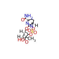 CC(OS(=O)(=O)ON1C(=O)N2C[C@H]1CC[C@H]2C(N)=O)C(C)(C)C(=O)O